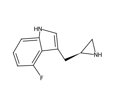 Fc1cccc2[nH]cc(C[C@H]3CN3)c12